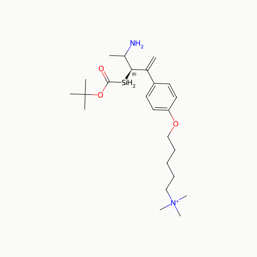 C=C(c1ccc(OCCCCC[N+](C)(C)C)cc1)[C@@H]([SiH2]C(=O)OC(C)(C)C)C(C)N